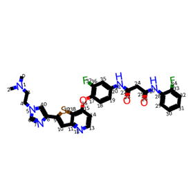 CN(C)CCn1cnc(-c2cc3nccc(Oc4ccc(NC(=O)CC(=O)Nc5ccccc5F)cc4F)c3s2)c1